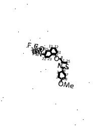 COc1ccc(-c2nc(COc3cccc4cc(NS(=O)(=O)C(F)(F)F)ccc34)cs2)cc1